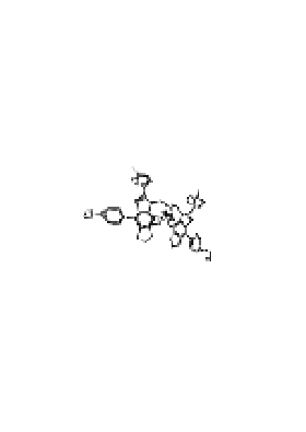 Cc1ccc(C2=Cc3c(cc4c(c3-c3ccc(Cl)cc3)CCC4)C2C[SiH](CC2C(c3ccc(C)o3)=Cc3c2cc2c(c3-c3ccc(Cl)cc3)CCC2)[Zr]([Cl])[Cl])o1